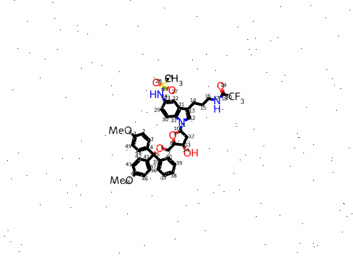 COc1ccc(C(OCC2OC(n3cc(CCCNC(=O)C(F)(F)F)c4cc(NS(C)(=O)=O)ccc43)CC2O)(c2ccccc2)c2ccc(OC)cc2)cc1